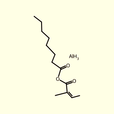 CC=C(C)C(=O)OC(=O)CCCCCCC.[AlH3]